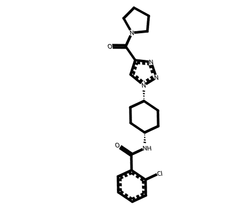 O=C(N[C@H]1CC[C@@H](n2cc(C(=O)N3CCCC3)nn2)CC1)c1ccccc1Cl